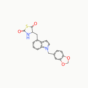 O=C1NC(Cc2cccc3c2ccn3Cc2ccc3c(c2)OCO3)C(=O)S1